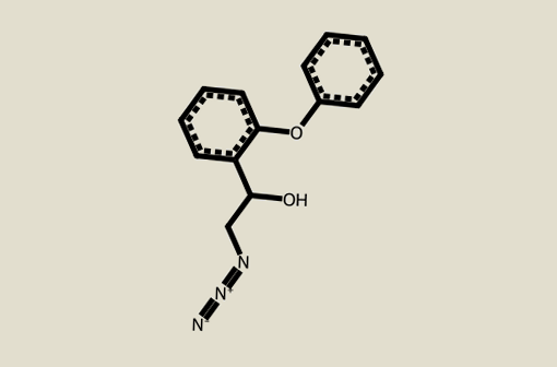 [N-]=[N+]=NCC(O)c1ccccc1Oc1ccccc1